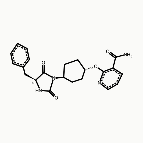 NC(=O)c1cccnc1O[C@H]1CC[C@H](N2C(=O)N[C@@H](Cc3ccccc3)C2=O)CC1